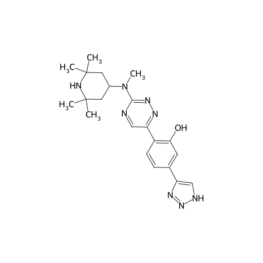 CN(c1ncc(-c2ccc(-c3c[nH]nn3)cc2O)nn1)C1CC(C)(C)NC(C)(C)C1